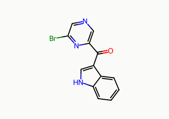 O=C(c1cncc(Br)n1)c1c[nH]c2ccccc12